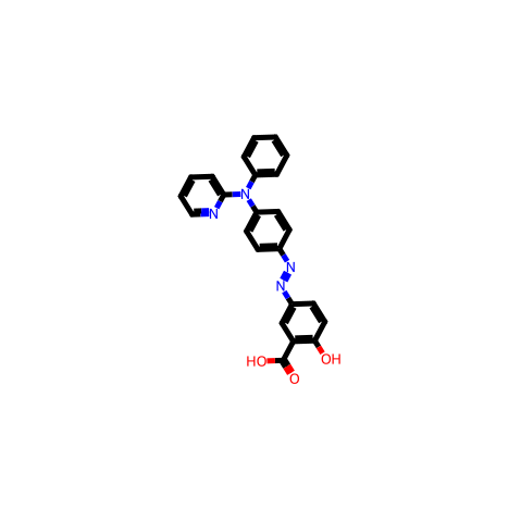 O=C(O)c1cc(N=Nc2ccc(N(c3ccccc3)c3ccccn3)cc2)ccc1O